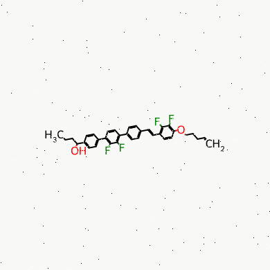 C=CCCCOc1ccc(/C=C/c2ccc(-c3ccc(-c4ccc(C(O)CCC)cc4)c(F)c3F)cc2)c(F)c1F